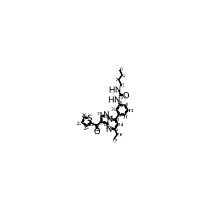 CCCCNC(=O)Nc1cccc(-c2cc(CC)nc3c(C(=O)c4cccs4)cnn23)c1